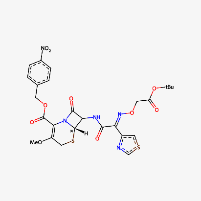 COC1=C(C(=O)OCc2ccc([N+](=O)[O-])cc2)N2C(=O)C(NC(=O)C(=NOCC(=O)OC(C)(C)C)c3cscn3)[C@@H]2SC1